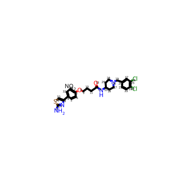 Nc1nc(-c2ccc(OCCCC(=O)NC3CCN(Cc4ccc(Cl)c(Cl)c4)CC3)c([N+](=O)[O-])c2)cs1